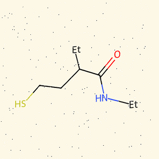 CCNC(=O)C(CC)CCS